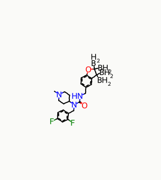 BC1(B)Oc2ccc(CNC(=O)N(Cc3ccc(F)cc3F)C3CCN(C)CC3)cc2C1(B)B